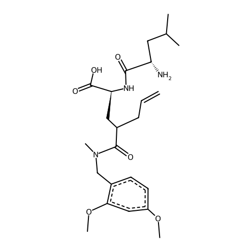 C=CCC(C[C@H](NC(=O)[C@@H](N)CC(C)C)C(=O)O)C(=O)N(C)Cc1ccc(OC)cc1OC